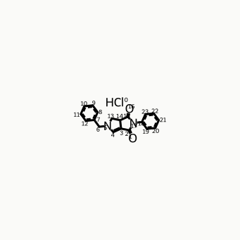 Cl.O=C1C2=CN(Cc3ccccc3)CC2C(=O)N1c1ccccc1